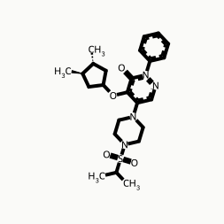 CC(C)S(=O)(=O)N1CCN(c2cnn(-c3ccccc3)c(=O)c2OC2C[C@@H](C)[C@H](C)C2)CC1